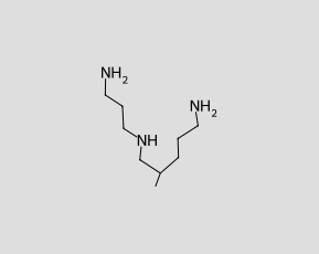 CC(CCCN)CNCCCN